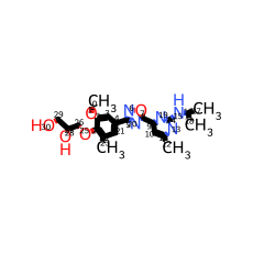 COc1cc(-c2noc(-c3cc(C)nc(NC(C)C)n3)n2)cc(C)c1OC[C@@H](O)CO